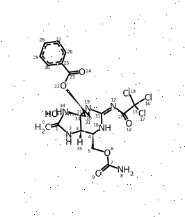 C=C1N[C@H]2[C@H](COC(N)=O)N/C(=N\C(=O)C(Cl)(Cl)Cl)N3C[C@H](OC(=O)c4ccccc4)[C@H](O)[C@]23N1